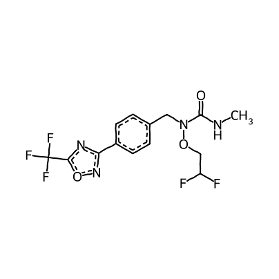 CNC(=O)N(Cc1ccc(-c2noc(C(F)(F)F)n2)cc1)OCC(F)F